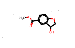 COC(=O)c1ccc2c(c1)C(O)CO2